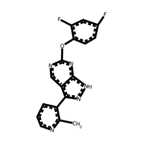 Cc1ncccc1-c1n[nH]c2nc(Oc3ccc(F)cc3F)ncc12